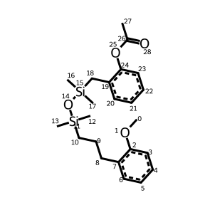 COc1ccccc1CCC[Si](C)(C)O[Si](C)(C)Cc1ccccc1OC(C)=O